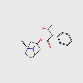 CC(O)C(C(=O)O[C@H]1CC2CC[C@H](C1)N2C)c1ccccc1